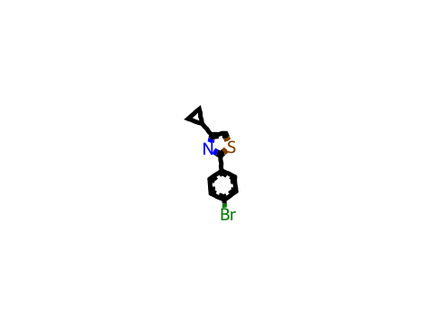 Brc1ccc(-c2nc(C3CC3)cs2)cc1